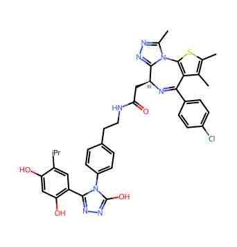 Cc1sc2c(c1C)C(c1ccc(Cl)cc1)=N[C@@H](CC(=O)NCCc1ccc(-n3c(O)nnc3-c3cc(C(C)C)c(O)cc3O)cc1)c1nnc(C)n1-2